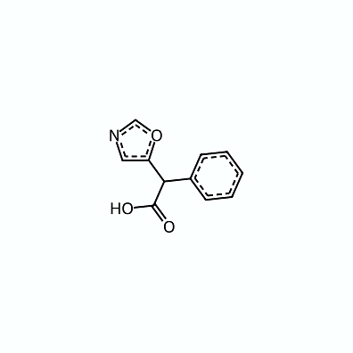 O=C(O)C(c1ccccc1)c1cnco1